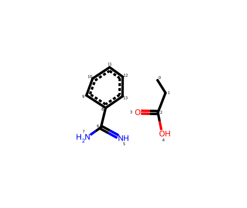 CCC(=O)O.N=C(N)c1ccccc1